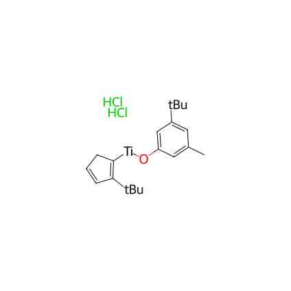 Cc1cc([O][Ti][C]2=C(C(C)(C)C)C=CC2)cc(C(C)(C)C)c1.Cl.Cl